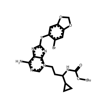 CC(C)(C)OC(=O)NC(CCn1cnc(N)c2nc(Sc3cc4c(cc3Br)OCO4)nc1-2)C1CC1